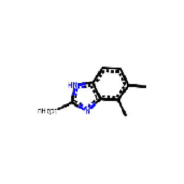 CCCCCCCc1nc2c(C)c(C)ccc2[nH]1